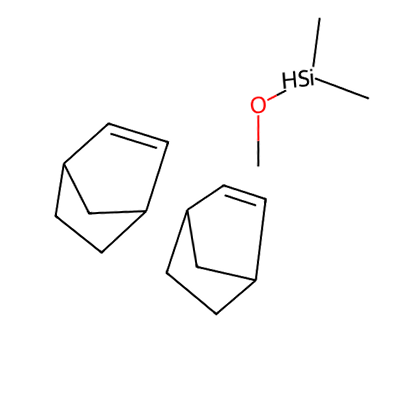 C1=CC2CCC1C2.C1=CC2CCC1C2.CO[SiH](C)C